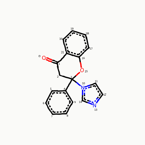 O=C1CC(c2ccccc2)(n2ccnc2)Oc2ccccc21